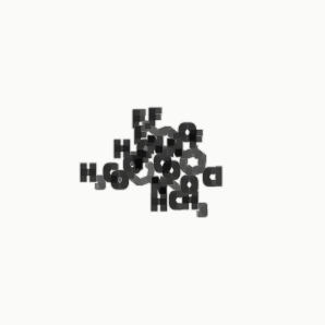 COC(=O)CC(CF)NC(=O)C(C)Oc1cc(-n2c(=O)cc(C(F)(F)F)n(C)c2=O)c(F)cc1Cl